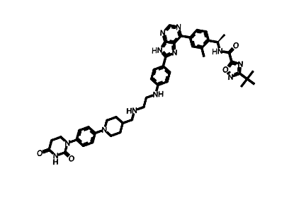 Cc1cc(-c2ncnc3[nH]c(-c4ccc(NCCNCC5CCN(c6ccc(N7CCC(=O)NC7=O)cc6)CC5)cc4)nc23)ccc1[C@@H](C)NC(=O)c1nc(C(C)(C)C)no1